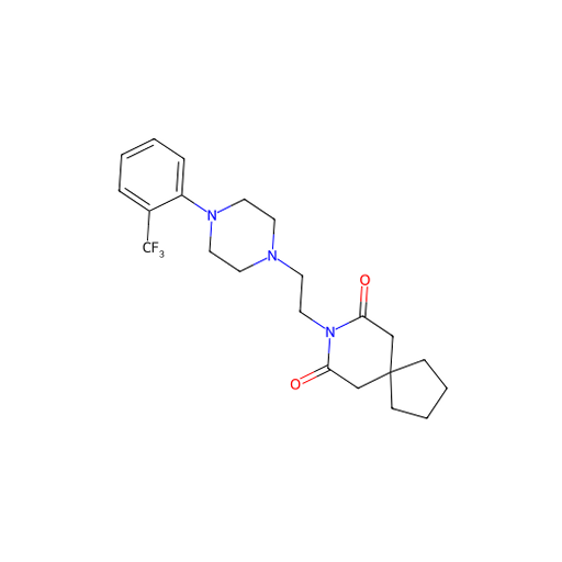 O=C1CC2(CCCC2)CC(=O)N1CCN1CCN(c2ccccc2C(F)(F)F)CC1